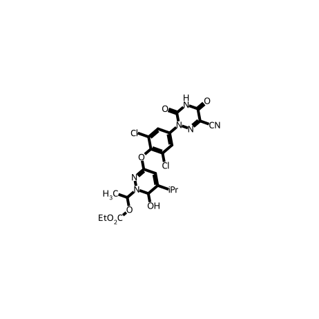 CCOC(=O)OC(C)N1N=C(Oc2c(Cl)cc(-n3nc(C#N)c(=O)[nH]c3=O)cc2Cl)C=C(C(C)C)C1O